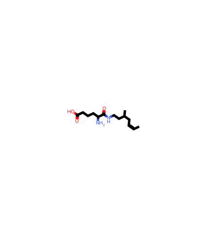 C/C=C\CC(C)CCNC(=O)C(N)CCCC(=O)O